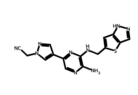 N#CCn1cc(-c2cnc(N)c(NCc3cc4[nH]ncc4s3)n2)cn1